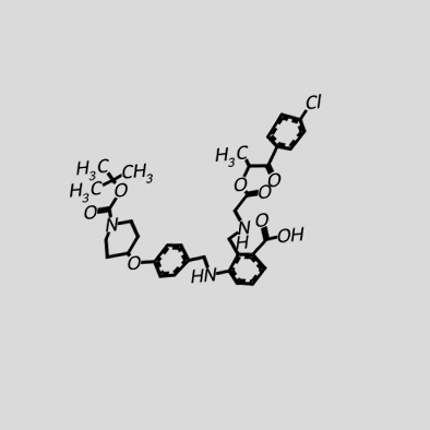 CC(OC(=O)CNCc1c(NCc2ccc(OC3CCN(C(=O)OC(C)(C)C)CC3)cc2)cccc1C(=O)O)C(=O)c1ccc(Cl)cc1